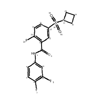 O=C(Nc1ccc(F)c(F)c1)c1cc(S(=O)(=O)N2CCC2)ccc1F